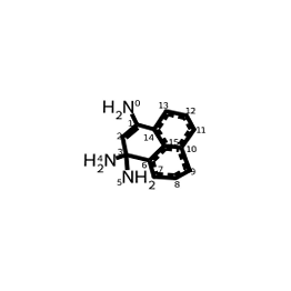 NC1=CC(N)(N)c2cccc3cccc1c23